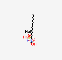 CCCCCCCCCCCCCCC(C(=O)NC(C)(C)O)S(=O)(=O)O.[NaH]